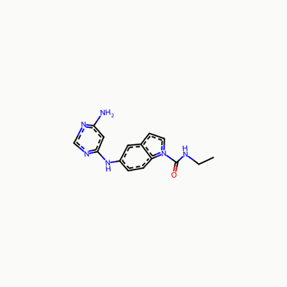 CCNC(=O)n1ccc2cc(Nc3cc(N)ncn3)ccc21